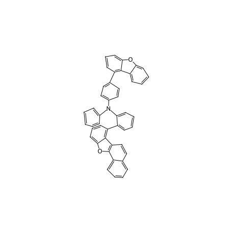 c1ccc(N(c2ccc(-c3cccc4oc5ccccc5c34)cc2)c2ccccc2-c2cccc3oc4c5ccccc5ccc4c23)cc1